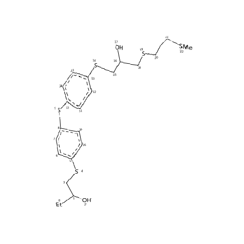 CCC(O)CSc1ccc(Sc2ccc(SCC(O)CSCCSC)cc2)cc1